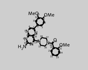 COc1ccc(-c2cnc3nc(N)nc(N4CCN(C(=O)c5ccccc5OC)CC4)c3n2)cc1OC